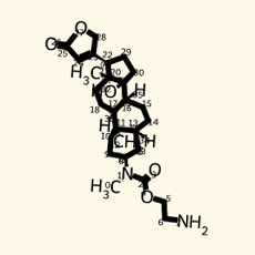 CN(C(=O)OCCN)[C@H]1CC[C@@]2(C)[C@H](CC[C@@H]3[C@@H]2CC[C@]2(C)[C@@H](C4=CC(=O)OC4)CC[C@]32O)C1